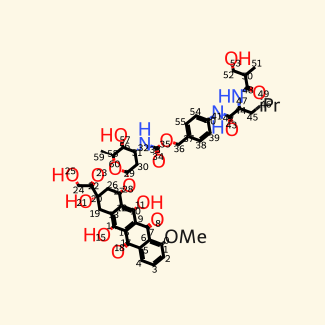 COc1cccc2c1C(=O)c1c(O)c3c(c(O)c1C2=O)C[C@@](O)(C(=O)CO)CC3O[C@H]1C[C@@H](NC(=O)OCc2ccc(NC(=O)C(CC(C)C)NC(=O)C(C)CO)cc2)C(O)[C@H](C)O1